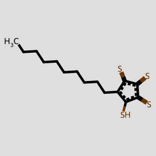 CCCCCCCCCCc1c(S)c(=S)c(=S)c1=S